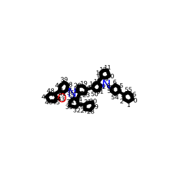 c1ccc(-c2ccc(-n3c4ccccc4c4cc(-c5ccc6c(c5)c5c(-c7ccccc7)cccc5n6-c5cccc6c5oc5ccccc56)ccc43)cc2)cc1